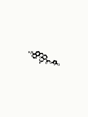 CN(C)C[C@H]1C(=O)N(Cc2ccc3c(N)ncnc3c2)CCN1C(=O)COc1ccc(Cl)s1